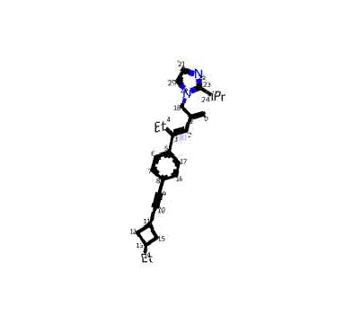 C=C(/C=C(\CC)c1ccc(C#CC2CC(CC)C2)cc1)Cn1ccnc1C(C)C